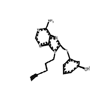 C#CCCCn1c(Sc2cccc(O)c2)nc2c(N)ncnc21